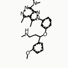 CNCCC(Oc1cccc(-n2nc3c(N(C)C)nnc(C)c3c2C)c1)c1cccc(OC)c1